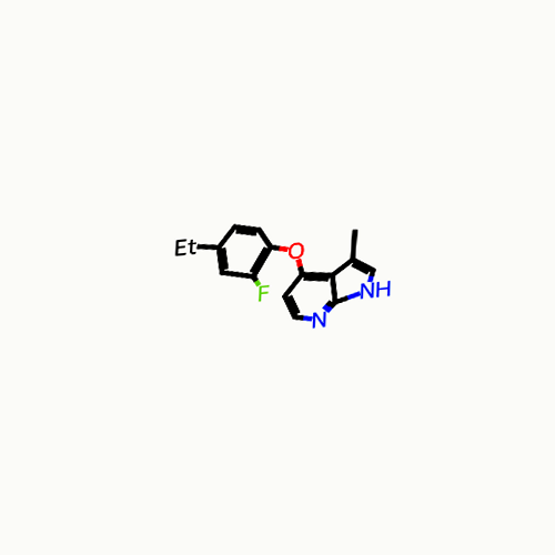 CCc1ccc(Oc2ccnc3[nH]cc(C)c23)c(F)c1